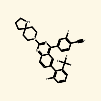 N#Cc1ccc(-c2nc(N3CCC4(CCCN4)CC3)nc3ccc(-c4c(F)cccc4C(F)(F)F)cc23)cc1F